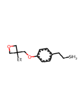 CCC1(COc2ccc(CC[SiH3])cc2)COC1